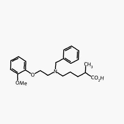 COc1ccccc1OCCN(CCCC(C)C(=O)O)Cc1ccccc1